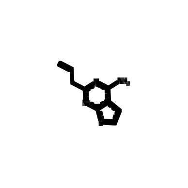 C=CCc1nc(N)c2ccsc2n1